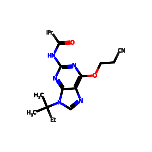 CCC(C)(C)n1cnc2c(OCCC#N)nc(NC(=O)C(C)C)nc21